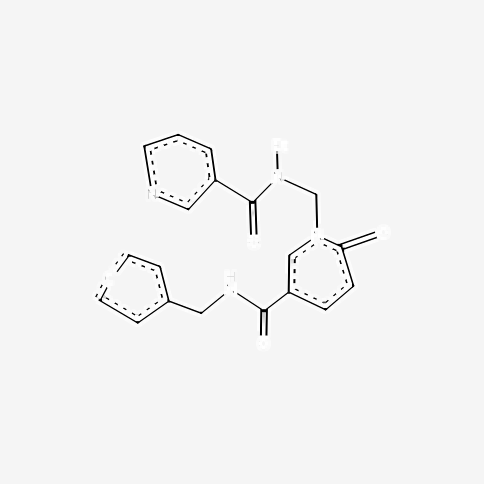 CCN(Cn1cc(C(=O)NCc2ccccc2)ccc1=O)C(=O)c1cccnc1